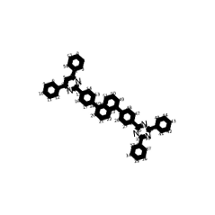 c1ccc(-c2cc(-c3ccccc3)nc(-c3ccc(-c4cccc5c(-c6ccc(-c7nc(-c8ccccc8)nc(-c8ccccc8)n7)cc6)cccc45)cc3)n2)cc1